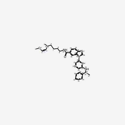 CO/C=C\N(C)CCCCNC(=O)c1ccc2ncn(-c3cncc(N[C@@H](C)c4ccccc4)n3)c2c1